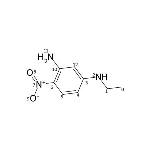 CCNc1ccc([N+](=O)[O-])c(N)c1